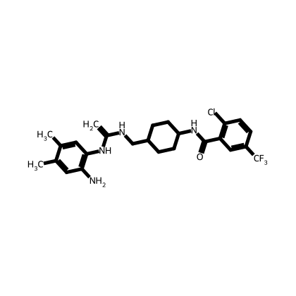 C=C(NCC1CCC(NC(=O)c2cc(C(F)(F)F)ccc2Cl)CC1)Nc1cc(C)c(C)cc1N